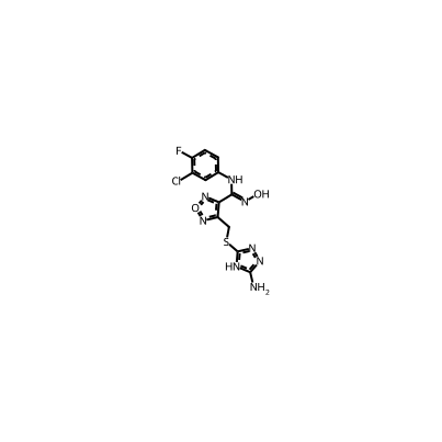 Nc1nnc(SCc2nonc2/C(=N/O)Nc2ccc(F)c(Cl)c2)[nH]1